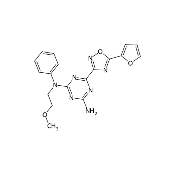 COCCN(c1ccccc1)c1nc(N)nc(-c2noc(-c3ccco3)n2)n1